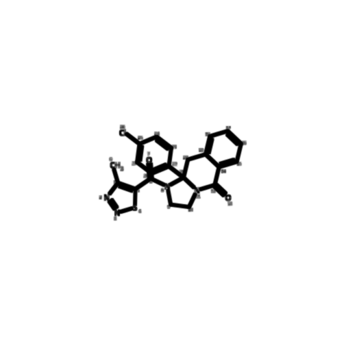 Cc1nnsc1C(=O)N1CCN2C(=O)c3ccccc3CC21c1ccc(Cl)cc1